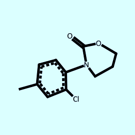 Cc1ccc(N2CCCOC2=O)c(Cl)c1